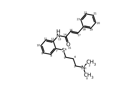 CN(C)CCCSc1ccccc1NC(=O)C=Cc1ccccc1